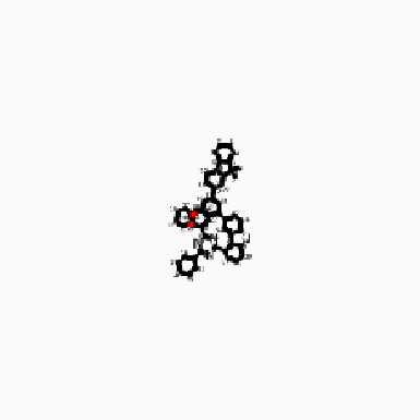 CC1(C)c2ccccc2-c2ccc(-c3cc(-c4ccccc4)cc(-c4ccc5oc6cccc(-c7nc(-c8ccccc8)nc(-c8ccccc8)n7)c6c5c4)c3)cc21